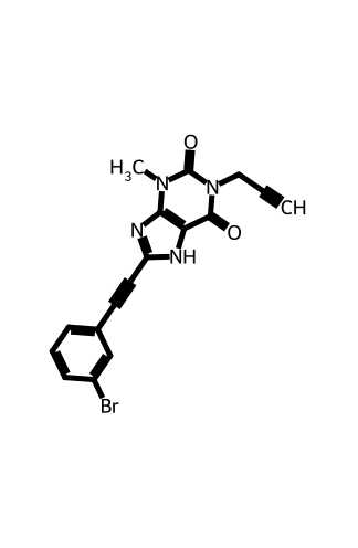 C#CCn1c(=O)c2[nH]c(C#Cc3cccc(Br)c3)nc2n(C)c1=O